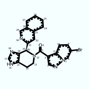 O=C(c1cnn2cc(Br)ccc12)N1CCc2[nH]cnc2[C@H]1c1cc2ccccc2cn1